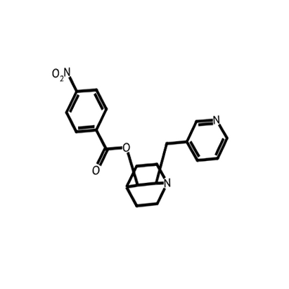 O=C(OC1C2CCN(CC2)C1Cc1cccnc1)c1ccc([N+](=O)[O-])cc1